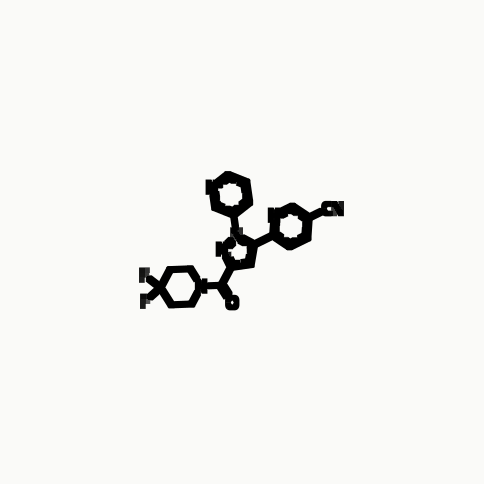 N#Cc1ccc(-c2cc(C(=O)N3CCC(F)(F)CC3)nn2-c2cccnc2)nc1